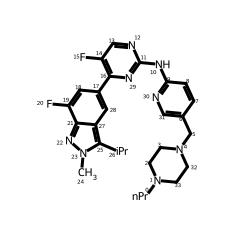 CCCN1CCN(Cc2ccc(Nc3ncc(F)c(-c4cc(F)c5nn(C)c(C(C)C)c5c4)n3)nc2)CC1